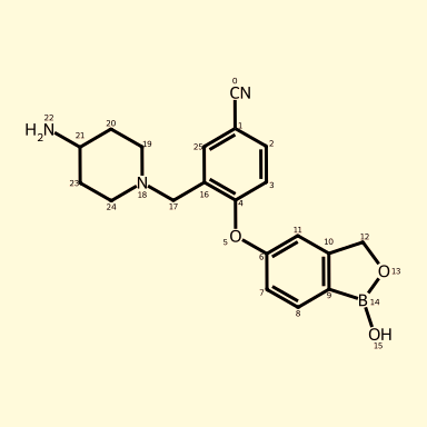 N#Cc1ccc(Oc2ccc3c(c2)COB3O)c(CN2CCC(N)CC2)c1